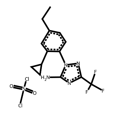 CCc1ccc(-n2nc(C(F)(F)F)nc2N)c(C2CC2)c1.O=S(=O)(Cl)Cl